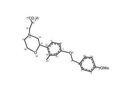 COc1ccc(COc2ccc(C3CN(CCC(=O)O)CCO3)c(C)c2)cc1